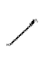 O=C(OCCOCCOCCOCCOC/C=C/COCCOCCOCCOCCO)Oc1ccc([N+](=O)[O-])cc1